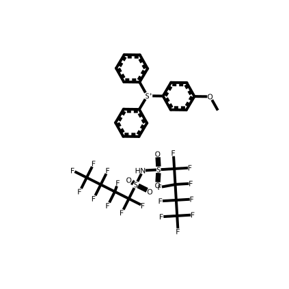 COc1ccc([S+](c2ccccc2)c2ccccc2)cc1.O=S(=O)(NS(=O)(=O)C(F)(F)C(F)(F)C(F)(F)C(F)(F)F)C(F)(F)C(F)(F)C(F)(F)C(F)(F)F